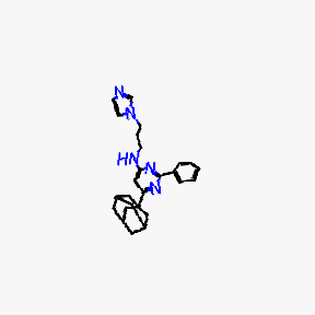 c1ccc(-c2nc(NCCCn3ccnc3)cc(C34CC5CC(CC(C5)C3)C4)n2)cc1